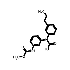 CCCc1cccc(N(C(=O)O)c2cccc(NC(=O)OC)c2)c1